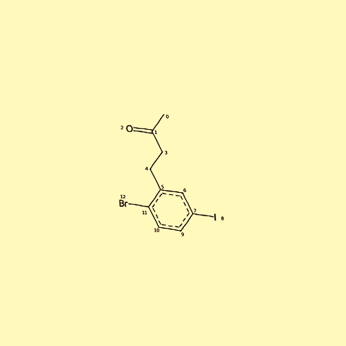 CC(=O)CCc1cc(I)ccc1Br